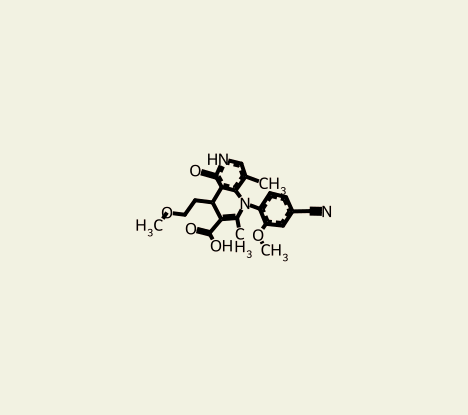 COCCC1C(C(=O)O)=C(C)N(c2ccc(C#N)cc2OC)c2c(C)c[nH]c(=O)c21